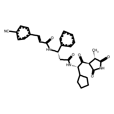 C[C@@H]1C(=O)NC(=O)[C@H]1C(=O)[C@@H](NC(=O)C[C@H](NC(=O)C=Cc1ccc(C#N)cc1)c1ccccc1)C1CCCC1